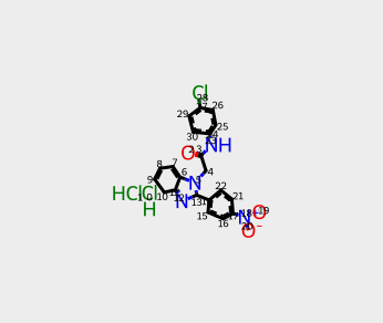 Cl.Cl.O=C(CN1C2=CC=CCC2=NC1c1ccc([N+](=O)[O-])cc1)Nc1ccc(Cl)cc1